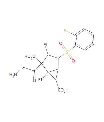 CCC1C(S(=O)(=O)c2ccccc2F)C2C(C(=O)O)C2(CC)C1(C(=O)O)C(=O)CN